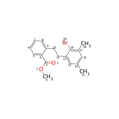 COC(=O)c1ccccc1CCc1cc(C)cc(C)c1Br